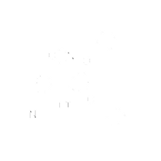 CC(C)c1cc(-c2ncoc2-c2ccc(CN3CCCCC3)cc2)c(OCc2ccccc2)cc1OCc1ccccc1